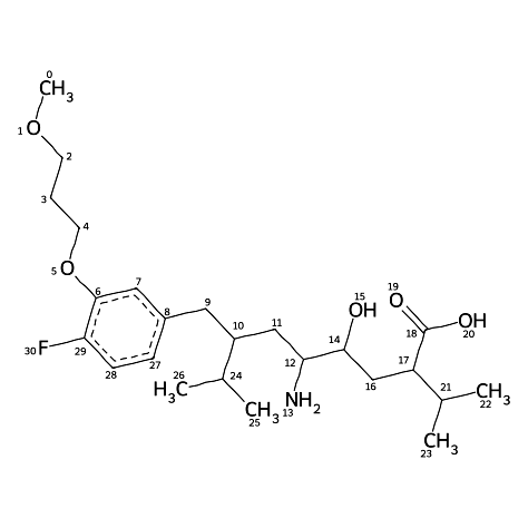 COCCCOc1cc(CC(CC(N)C(O)CC(C(=O)O)C(C)C)C(C)C)ccc1F